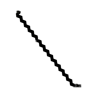 [CH2]CCCCCCCCCCCCCCCCCCCCCCCCCCCSCCCCCCCCCCC(C)C